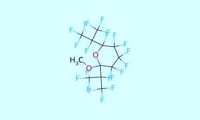 COC1(C(F)(C(F)(F)F)C(F)(F)F)OC(F)(C(F)(C(F)(F)F)C(F)(F)F)C(F)(F)C(F)(F)C1(F)F